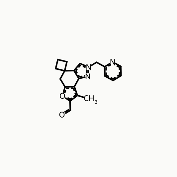 Cc1c(C=O)oc2c1-c1nn(Cc3ccccn3)cc1C1(CCC1)C2